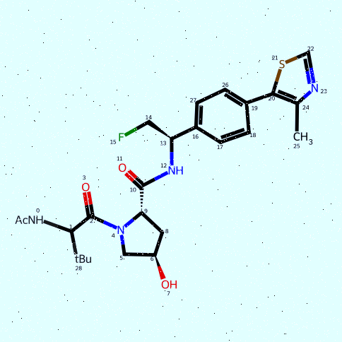 CC(=O)NC(C(=O)N1C[C@H](O)C[C@H]1C(=O)N[C@@H](CF)c1ccc(-c2scnc2C)cc1)C(C)(C)C